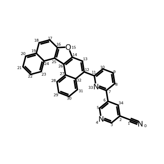 N#Cc1cncc(-c2cccc(-c3cc4oc5ccc6ccccc6c5c4c4ccccc34)n2)c1